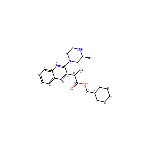 C[C@H]1CN(c2nc3ccccc3nc2C(C#N)C(=O)OCC2CCCCC2)CCN1